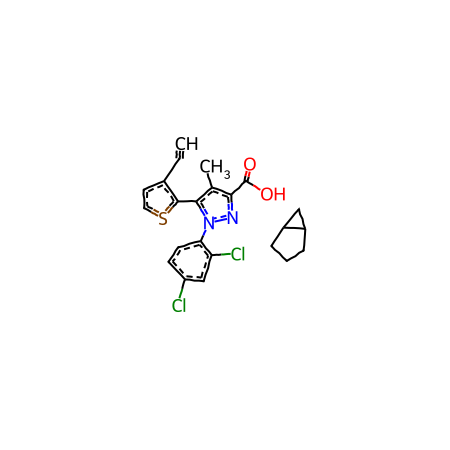 C#Cc1ccsc1-c1c(C)c(C(=O)O)nn1-c1ccc(Cl)cc1Cl.C1CC2CC2C1